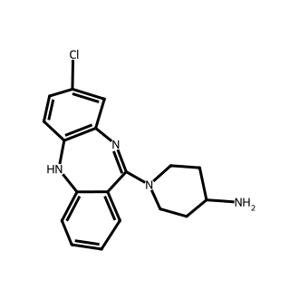 NC1CCN(C2=Nc3cc(Cl)ccc3Nc3ccccc32)CC1